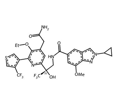 CCOc1c(CC(N)=O)cc([C@@](O)(CNC(=O)c2cc(OC)c3nn(C4CC4)cc3c2)C(F)(F)F)nc1-c1cscc1C(F)(F)F